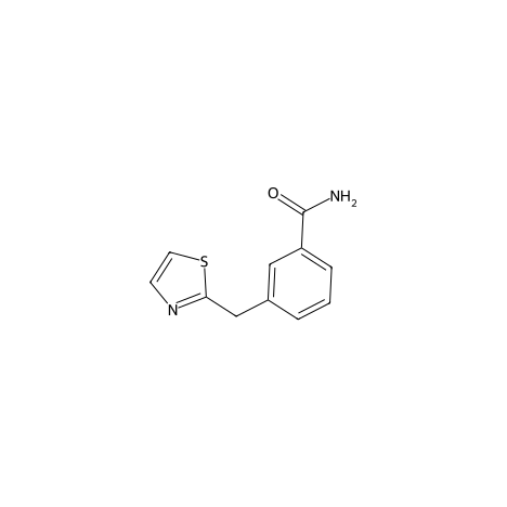 NC(=O)c1cccc(Cc2nccs2)c1